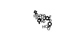 C=C1C[C@@H]2C[C@H]1[C@@H](NC(=O)c1cc(OC3CCC(C)(C(=O)O)CC3)c(F)cc1OC)[C@H]2C(=O)NCC1(C)CCC1